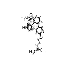 CN(C)CCCOc1ccc(-c2cccc(S(C)(=O)=O)c2-c2nn[nH]n2)cn1